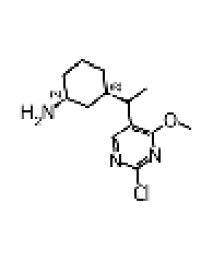 COc1nc(Cl)ncc1C(C)[C@@H]1CCC[C@H](N)C1